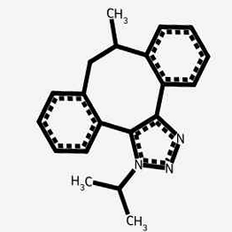 CC1Cc2ccccc2-c2c(nnn2C(C)C)-c2ccccc21